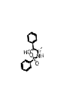 C[C@H](NS(=O)(=O)c1ccccc1)[C@H](O)c1ccccc1